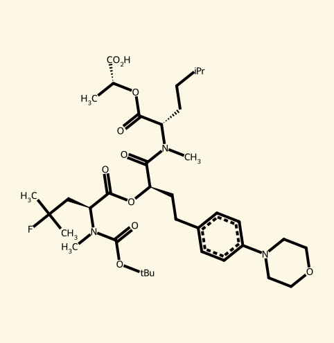 CC(C)CC[C@@H](C(=O)O[C@H](C)C(=O)O)N(C)C(=O)[C@@H](CCc1ccc(N2CCOCC2)cc1)OC(=O)[C@H](CC(C)(C)F)N(C)C(=O)OC(C)(C)C